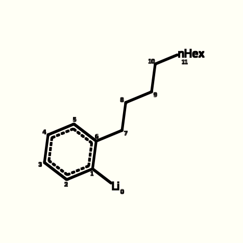 [Li][c]1ccccc1CCCCCCCCCC